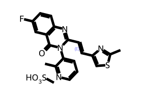 CS(=O)(=O)O.Cc1nc(/C=C/c2nc3ccc(F)cc3c(=O)n2-c2cccnc2C)cs1